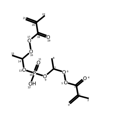 C=C(C)C(=O)OOC(C)OP(=O)(O)OC(C)OOC(=O)C(=C)C